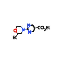 CCOC(=O)c1cnc(N2CCOC(CC)C2)nc1